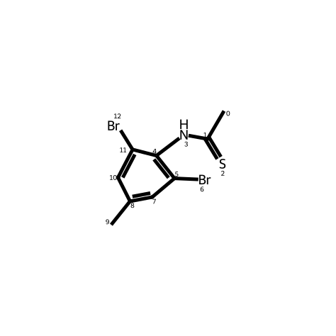 CC(=S)Nc1c(Br)cc(C)cc1Br